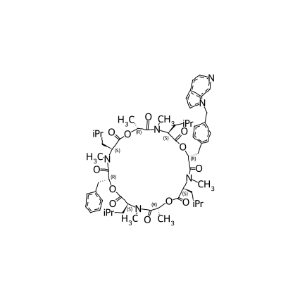 CC(C)C[C@H]1C(=O)O[C@H](Cc2ccc(Cn3ccc4ccncc43)cc2)C(=O)N(C)[C@@H](CC(C)C)C(=O)O[C@H](C)C(=O)N(C)[C@@H](CC(C)C)C(=O)O[C@H](Cc2ccccc2)C(=O)N(C)[C@@H](CC(C)C)C(=O)O[C@H](C)C(=O)N1C